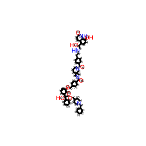 O=C(c1ccc(CCNC[C@H](O)c2ccc(O)c3[nH]c(=O)ccc23)cc1)N1CCCC2(C1)CN(C(=O)c1ccc(COc3cccc(C(O)(C(=O)OCC4CCN(Cc5ccccc5)CC4)c4ccccc4)c3)cc1)C2